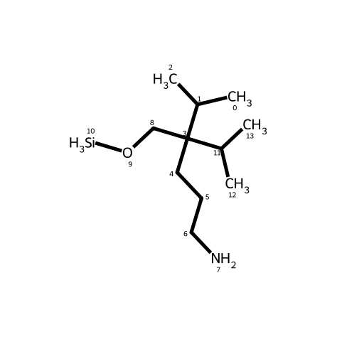 CC(C)C(CCCN)(CO[SiH3])C(C)C